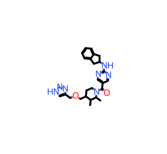 CC1C(COCc2c[nH]nn2)CCN(C(=O)c2cnc(NC3Cc4ccccc4C3)nc2)C1C